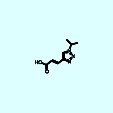 CC(C)n1cc(C=CC(=O)O)nn1